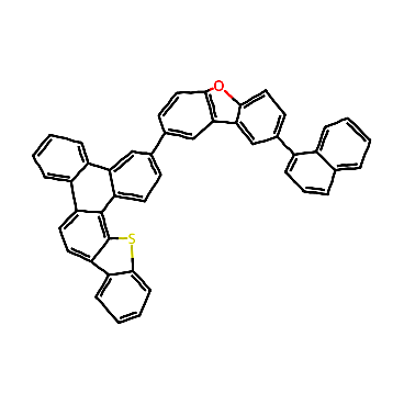 c1ccc2c(-c3ccc4oc5ccc(-c6ccc7c(c6)c6ccccc6c6ccc8c9ccccc9sc8c67)cc5c4c3)cccc2c1